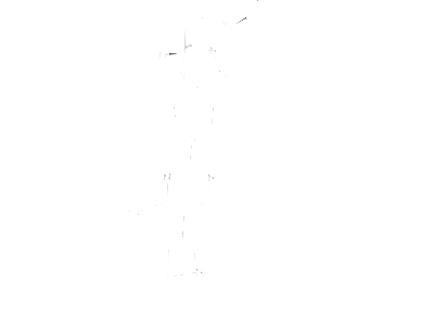 Cc1nc(N2CCC3(CC2)O[C@@H]2CC[C@@H](c4ccccc4)N2C3=O)ncc1-c1cnoc1